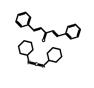 C(=NC1CCCCC1)=NC1CCCCC1.O=C(C=Cc1ccccc1)C=Cc1ccccc1